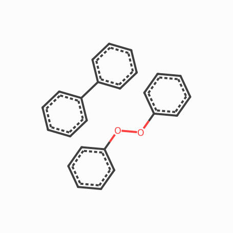 c1ccc(-c2ccccc2)cc1.c1ccc(OOc2ccccc2)cc1